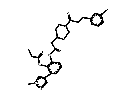 CCC(=O)Oc1c(NC(=O)CC2CCN(C(=O)CCc3cccc(F)c3)CC2)cccc1-c1cnn(C)c1